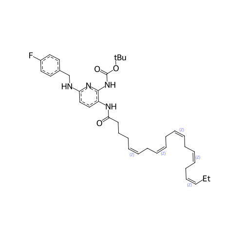 CC/C=C\C/C=C\C/C=C\C/C=C\C/C=C\CCCC(=O)Nc1ccc(NCc2ccc(F)cc2)nc1NC(=O)OC(C)(C)C